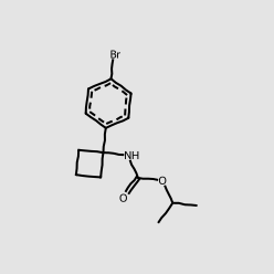 CC(C)OC(=O)NC1(c2ccc(Br)cc2)CCC1